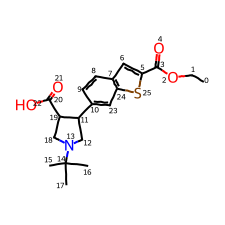 CCOC(=O)c1cc2ccc(C3CN(C(C)(C)C)CC3C(=O)O)cc2s1